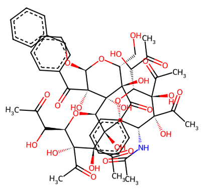 CC(=O)N[C@@H]1[C@H]([C@@]2(O)[C@H]([C@@]3(O)[C@@](O)(C(=O)c4ccccc4)[C@@H](OCc4ccccc4)O[C@H](CO)[C@]3(O)C(=O)c3ccccc3)O[C@H](C(O)C(C)=O)[C@](O)(C(C)=O)[C@@]2(O)C(C)=O)O[C@H](C(O)C(C)=O)[C@](O)(C(C)=O)[C@@]1(O)C(C)=O